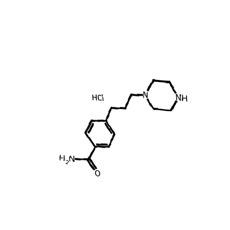 Cl.NC(=O)c1ccc(CCCN2CCNCC2)cc1